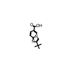 CC(C)(C)c1cn2cc(C(=O)O)ccc2n1